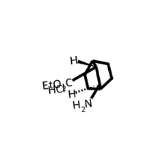 CCOC(=O)[C@@H]1C2CCC(CC2)[C@H]1N.Cl